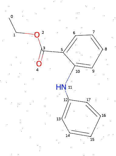 CCOC(=O)c1ccccc1Nc1ccccc1